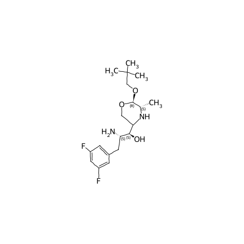 C[C@@H]1NC([C@@H](O)[C@@H](N)Cc2cc(F)cc(F)c2)CO[C@H]1OCC(C)(C)C